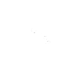 CCCc1cc(-c2nc3c(o2)CCCC3)ccc1OCCCOc1ccc2[nH]c(C(C)C(=O)O)c(C)c2c1